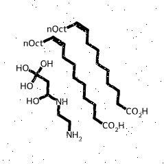 CCCCCCCC/C=C\CCCCCCCC(=O)O.CCCCCCCC/C=C\CCCCCCCC(=O)O.NCCNC(O)CC(O)(O)O